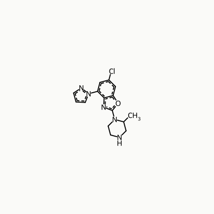 CC1CNCCN1c1nc2c(-n3cccn3)cc(Cl)cc2o1